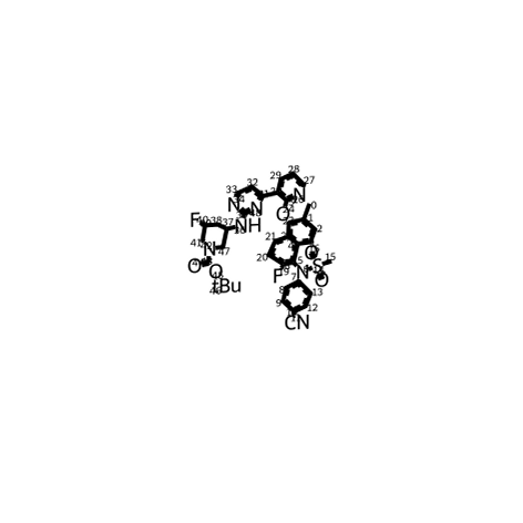 Cc1ccc2c(N(c3ccc(C#N)cc3)S(C)(=O)=O)c(F)ccc2c1Oc1ncccc1-c1ccnc(NC2CC(F)CN(C(=O)OC(C)(C)C)C2)n1